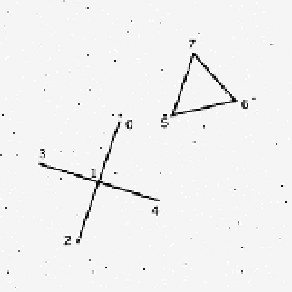 [CH2]C(C)(C)C.[CH]1CC1